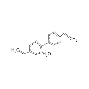 C=Cc1ccc(-c2ccc(C=C)cc2)cc1.O